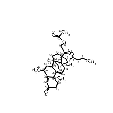 CCCC(=O)O[C@]1(C(=O)COC(C)=O)CC[C@H]2[C@@H]3C[C@H](C)C4=CC(=O)CC[C@]4(C)C3=CC[C@@]21C